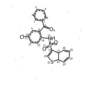 O=C(c1ccccc1)c1cc(Cl)ccc1NS(=O)(=O)C1=CSC2C=CC=CC12